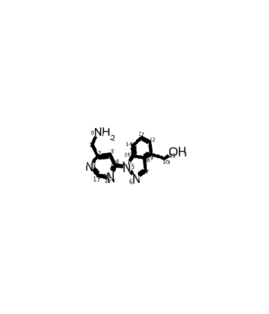 NCc1cc(-n2ncc3c(CO)cccc32)ncn1